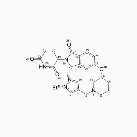 CCn1cc(CN2CCC[C@@H](Oc3ccc4c(c3)CN(C3CCC(=O)NC3=O)C4=O)C2)cn1